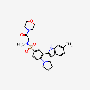 Cc1ccc2cc(-c3cc(S(=O)(=O)N(C)CC(=O)N4CCOCC4)ccc3N3CCCC3)[nH]c2c1